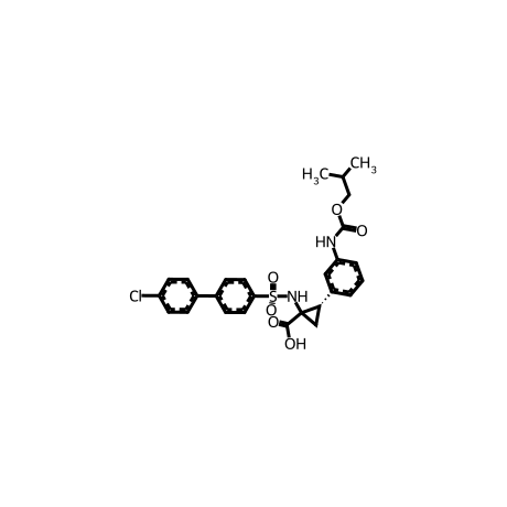 CC(C)COC(=O)Nc1cccc([C@@H]2CC2(NS(=O)(=O)c2ccc(-c3ccc(Cl)cc3)cc2)C(=O)O)c1